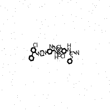 CN(C)CC[C@H](CSc1ccccc1)Nc1cc(Cl)c(S(=O)(=O)Nc2ncnc3cc(N4CCN(Cc5cc(Cl)ccc5-c5ccccc5)CC4)ccc23)c(Cl)c1